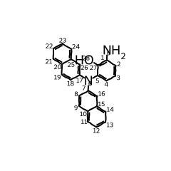 Nc1cccc(N(c2ccc3ccccc3c2)c2ccc3ccccc3c2)c1O